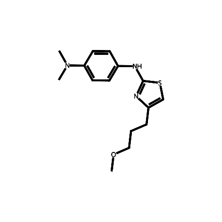 COCCCc1csc(Nc2ccc(N(C)C)cc2)n1